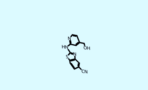 N#Cc1ccc2sc(Nc3cc(CO)ccn3)nc2c1